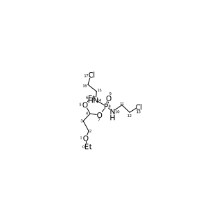 CCOCCC(OCC)OP(=O)(NCCCl)NCCCl